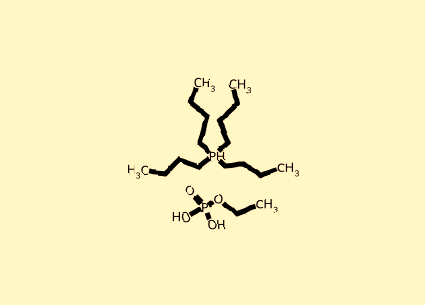 CCCC[PH](CCCC)(CCCC)CCCC.CCOP(=O)(O)O